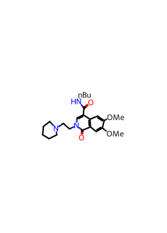 CCCCNC(=O)c1cn(CCN2CCCCC2)c(=O)c2cc(OC)c(OC)cc12